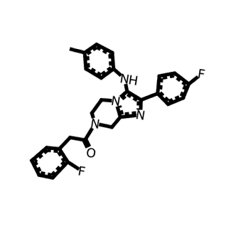 Cc1ccc(Nc2c(-c3ccc(F)cc3)nc3n2CCN(C(=O)Cc2ccccc2F)C3)cc1